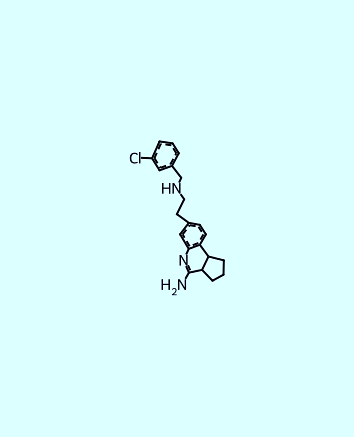 NC1=Nc2cc(CCNCc3cccc(Cl)c3)ccc2C2CCCC12